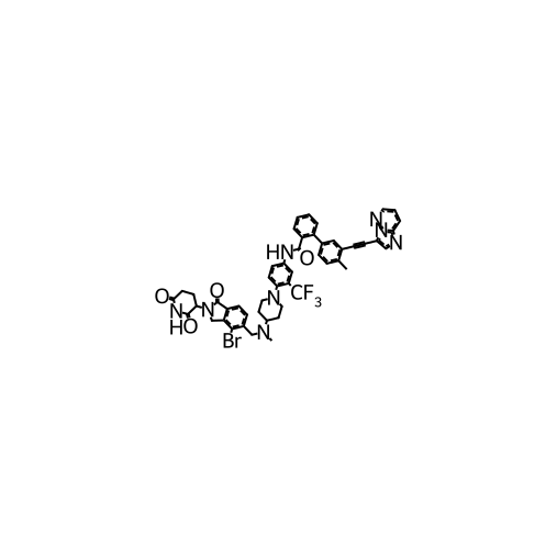 Cc1ccc(-c2ccccc2C(=O)Nc2ccc(N3CCC(N(C)Cc4ccc5c(c4Br)CN(C4CCC(=O)NC4=O)C5=O)CC3)c(C(F)(F)F)c2)cc1C#Cc1cnc2cccnn12